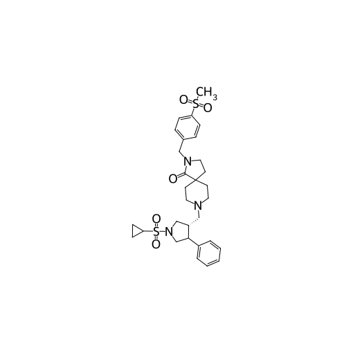 CS(=O)(=O)c1ccc(CN2CCC3(CCN(C[C@H]4CN(S(=O)(=O)C5CC5)CC4c4ccccc4)CC3)C2=O)cc1